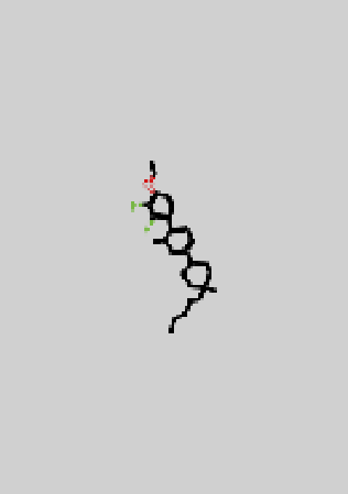 CCCCCC1(C)CCC(C2=CC=C(c3ccc(OCC)c(F)c3F)C(C)C2)CC1